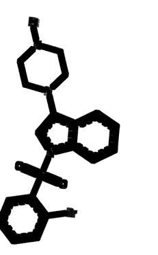 CCN1CCN(c2cn(S(=O)(=O)c3ccccc3Br)c3ccccc23)CC1